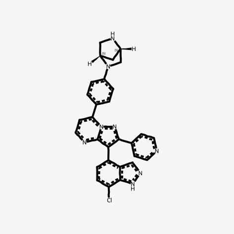 Clc1ccc(-c2c(-c3ccncc3)nn3c(-c4ccc(N5C[C@@H]6C[C@H]5CN6)cc4)ccnc23)c2cn[nH]c12